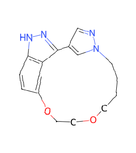 c1cc2[nH]nc3c2cc1OCCOCCCCn1cc-3cn1